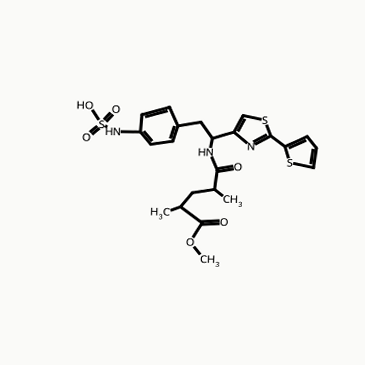 COC(=O)C(C)CC(C)C(=O)NC(Cc1ccc(NS(=O)(=O)O)cc1)c1csc(-c2cccs2)n1